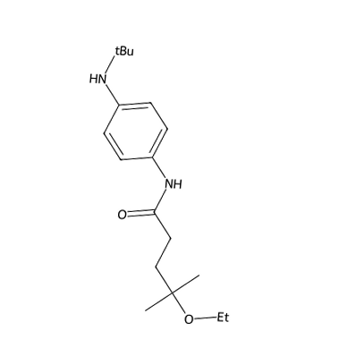 CCOC(C)(C)CCC(=O)Nc1ccc(NC(C)(C)C)cc1